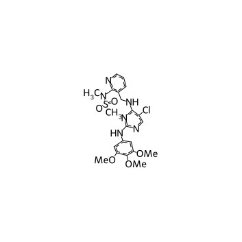 COc1cc(Nc2ncc(Cl)c(NCc3cccnc3N(C)S(C)(=O)=O)n2)cc(OC)c1OC